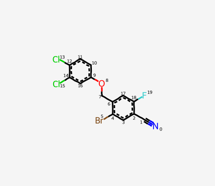 N#Cc1cc(Br)c(COc2ccc(Cl)c(Cl)c2)cc1F